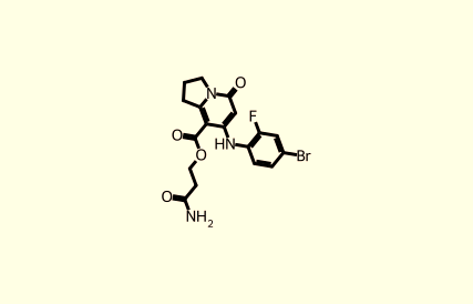 NC(=O)CCOC(=O)c1c(Nc2ccc(Br)cc2F)cc(=O)n2c1CCC2